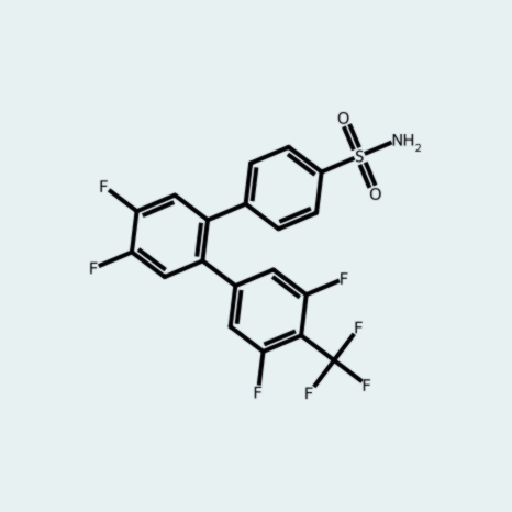 NS(=O)(=O)c1ccc(-c2cc(F)c(F)cc2-c2cc(F)c(C(F)(F)F)c(F)c2)cc1